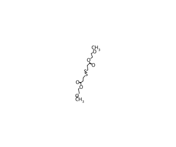 COCCOC(=O)CCSSCCC(=O)OCCOC